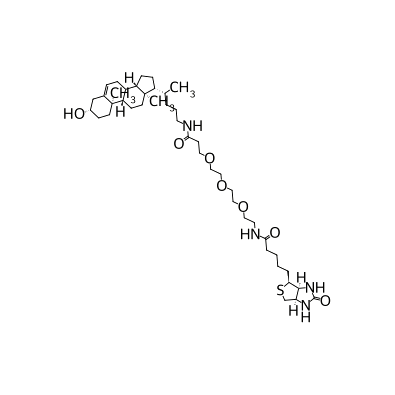 CC(CCCNC(=O)CCOCCOCCOCCNC(=O)CCCC[C@@H]1SC[C@@H]2NC(=O)N[C@@H]21)[C@H]1CC[C@H]2C3CC=C4C[C@@H](O)CC[C@]4(C)[C@H]3CC[C@]12C